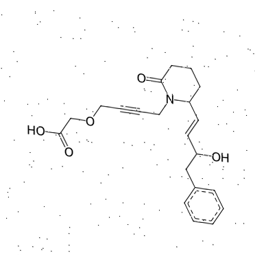 O=C(O)COCC#CCN1C(=O)CCCC1C=CC(O)Cc1ccccc1